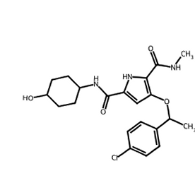 CNC(=O)c1[nH]c(C(=O)NC2CCC(O)CC2)cc1OC(C)c1ccc(Cl)cc1